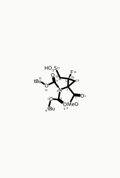 COC(=O)C1(N(C(=O)OC(C)(C)C)C(=O)OC(C)(C)C)C[C@@]1(F)CS(=O)(=O)O